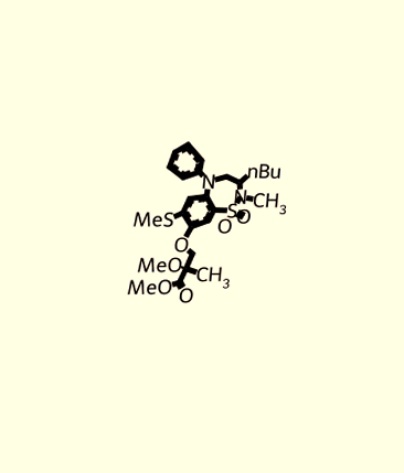 CCCCC1CN(c2ccccc2)c2cc(SC)c(OC[C@](C)(OC)C(=O)OC)cc2S(=O)(=O)N1C